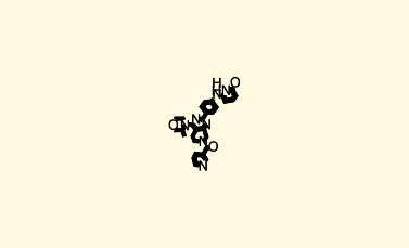 CC1COCCN1c1nc(-c2ccc(Nc3cccc(=O)[nH]3)cc2)nc2c1CCN(C(=O)c1cccnc1)C2